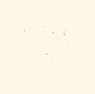 CN1CCCN(C(=O)c2cnc3[nH]nc(-c4cc5cccnc5[nH]4)c3c2)CC1